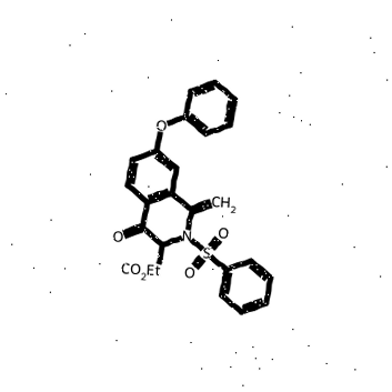 C=C1c2cc(Oc3ccccc3)ccc2C(=O)C(C(=O)OCC)N1S(=O)(=O)c1ccccc1